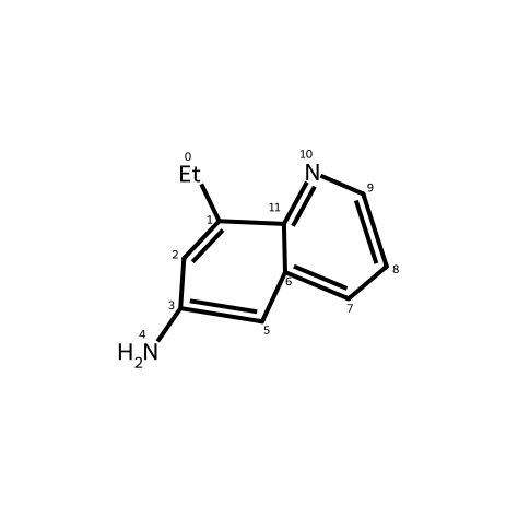 CCc1cc(N)cc2cccnc12